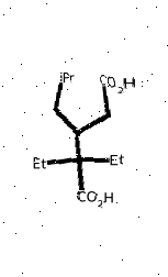 CCC(CC)(C(=O)O)C(CC(=O)O)CC(C)C